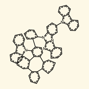 c1ccc2c(c1)-c1ccccc1-c1ccc(-c3ccccc3-n3c4ccc(-n5c6ccccc6c6ccccc65)cc4n4c5ccccc5nc34)c(-n3c4ccccc4c4ccccc43)c1-c1ccccc1-2